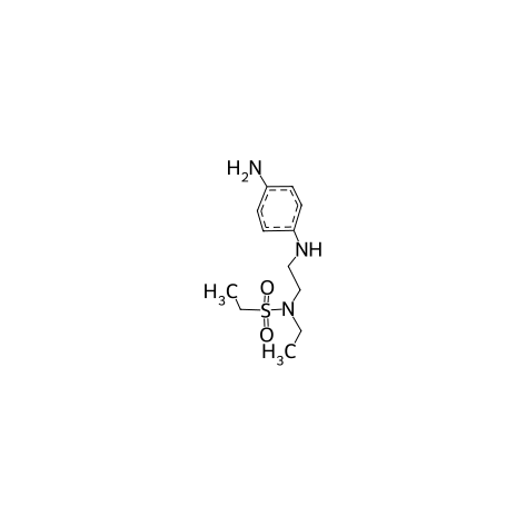 CCN(CCNc1ccc(N)cc1)S(=O)(=O)CC